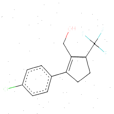 OCC1=C(c2ccc(Cl)cc2)CCC1C(F)(F)F